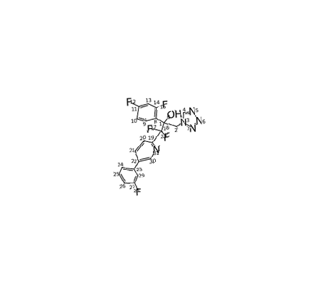 OC(Cn1cnnn1)(c1ccc(F)cc1F)C(F)(F)c1ccc(-c2cccc(F)c2)cn1